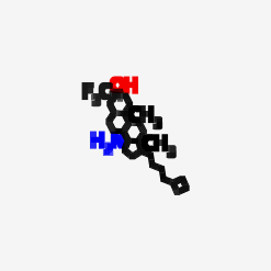 CC12CCC3C4(C)CC[C@@](O)(C(F)(F)F)CC4CCC3(N)C1CCC2CCCCC1CCC1